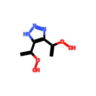 C=C(OO)c1nn[nH]c1C(=C)OO